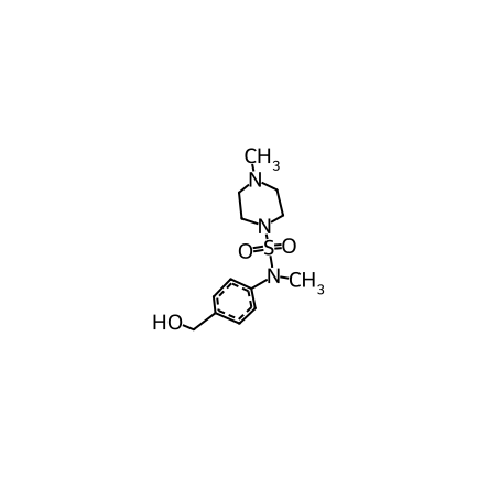 CN1CCN(S(=O)(=O)N(C)c2ccc(CO)cc2)CC1